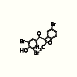 Cc1oc2ccc(Br)cc2c1C(=O)c1cc(Br)c(O)c(Br)c1